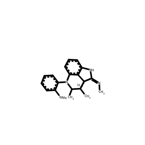 C/N=C1/Nc2cccc3c2C1(C)C(C)C(C)N3c1ccccc1NC